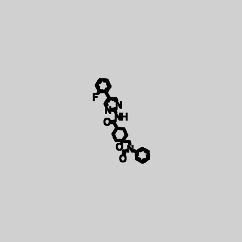 O=C(Nc1ncc(-c2ccccc2F)cn1)C1CCC2(CC1)CN(c1ccccc1)C(=O)O2